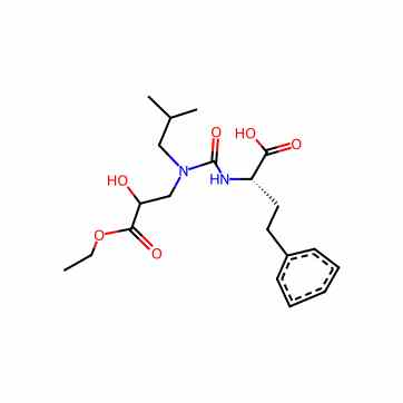 CCOC(=O)C(O)CN(CC(C)C)C(=O)N[C@@H](CCc1ccccc1)C(=O)O